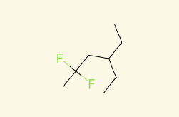 CCC(CC)CC(C)(F)F